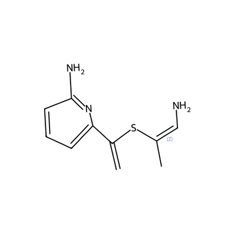 C=C(S/C(C)=C\N)c1cccc(N)n1